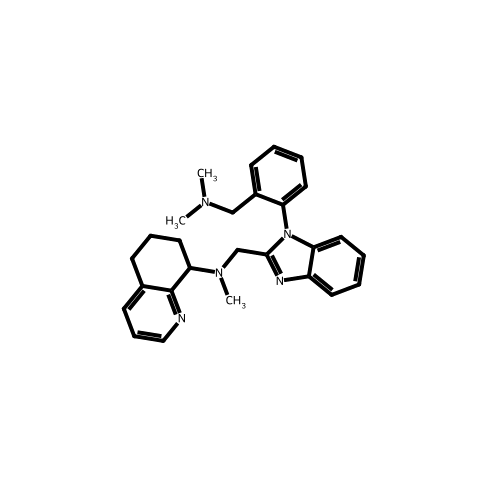 CN(C)Cc1ccccc1-n1c(CN(C)C2CCCc3cccnc32)nc2ccccc21